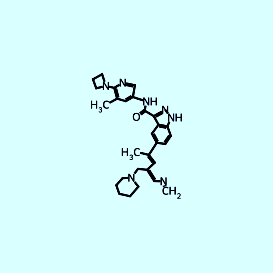 C=N/C=C(\C=C(/C)c1ccc2[nH]nc(C(=O)Nc3cnc(N4CCC4)c(C)c3)c2c1)CN1CCCCC1